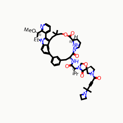 CCn1c(-c2cccnc2[C@H](C)OC)c2c3cc(ccc31)-c1cccc(c1)C[C@H](NC(=O)[C@H](C(C)C)N1CO[C@@]3(CCN(C(=O)C#CC(C)(C)N4CCC4)C3)C1=O)C(=O)N1CCC[C@H](N1)C(=O)OCC(C)(C)C2